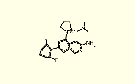 CNC[C@H]1CCCN1c1cc(-c2c(C)cccc2F)cc2cnc(N)cc12